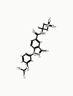 CC1(NC(=O)c2ccc3c(c2)c(I)nn3-c2cccc(OC(F)F)c2)CS(=O)(=O)C1